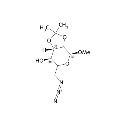 CO[C@H]1OC(CN=[N+]=[N-])[C@@H](O)[C@@H]2OC(C)(C)OC12